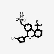 NS(=O)(=O)Cc1ccc2c(c1)C(c1ccc(Br)s1)Oc1cccc(C(F)(F)F)c1-2